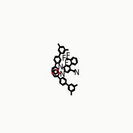 Cc1cc(C)cc(-c2ccc3c4ccccc4n(-c4cc(C#N)c(-c5ccccc5C(F)(F)F)cc4-n4c5ccccc5c5ccc(-c6cc(C)cc(C)c6)cc54)c3c2)c1